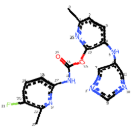 Cc1ccc(Nc2cncnc2)c(OC(=O)Nc2ccc(F)c(C)n2)n1